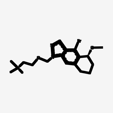 CO[C@@H]1CCCc2cc3c(cnn3COCC[Si](C)(C)C)c(Br)c21